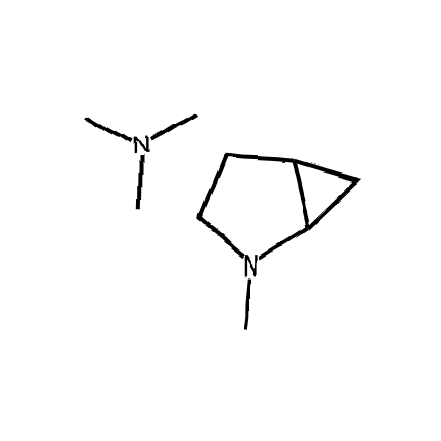 CN(C)C.CN1CCC2CC21